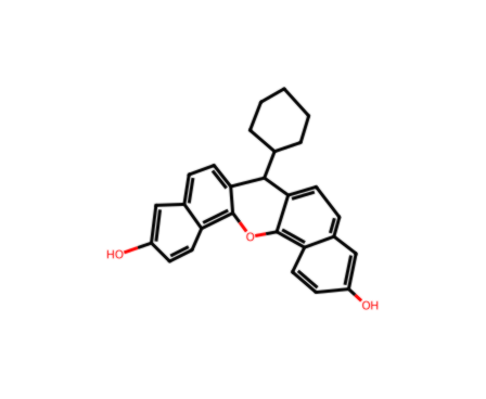 Oc1ccc2c3c(ccc2c1)C(C1CCCCC1)c1ccc2cc(O)ccc2c1O3